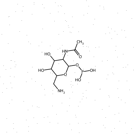 CC(=O)NC1C(OP(O)O)OC(CN)C(O)C1O